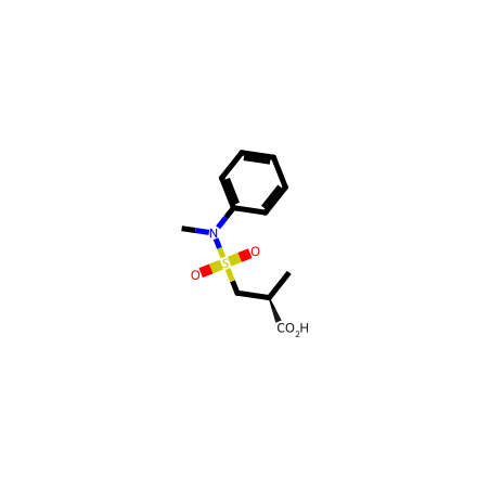 C[C@H](CS(=O)(=O)N(C)c1ccccc1)C(=O)O